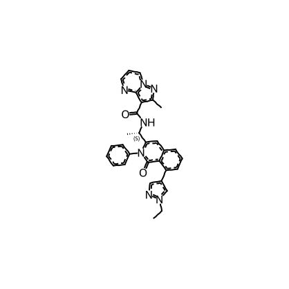 CCn1cc(-c2cccc3cc([C@H](C)NC(=O)c4c(C)nn5cccnc45)n(-c4ccccc4)c(=O)c23)cn1